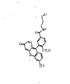 CCSCCNC(=O)c1ccc(C(=O)O)c(-c2c3ccc(=O)cc-3oc3cc(O)ccc23)c1